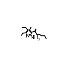 C=C(CCCCC)c1c(N)nc(CC)c(CC)c1C